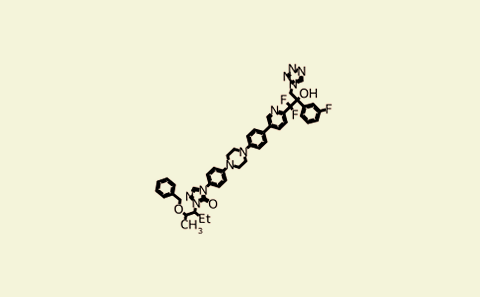 CCC(C(C)OCc1ccccc1)n1ncn(-c2ccc(N3CCN(c4ccc(-c5ccc(C(F)(F)C(O)(Cn6cnnn6)c6cccc(F)c6)nc5)cc4)CC3)cc2)c1=O